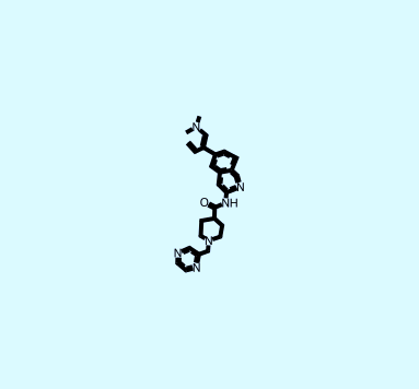 C=C/C(=C\N(C)C)c1ccc2cnc(NC(=O)C3CCN(Cc4cnccn4)CC3)cc2c1